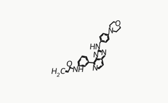 C=CC(=O)Nc1cccc(-c2nccc3cnc(Nc4ccc(N5CCOCC5)cc4)nc23)c1